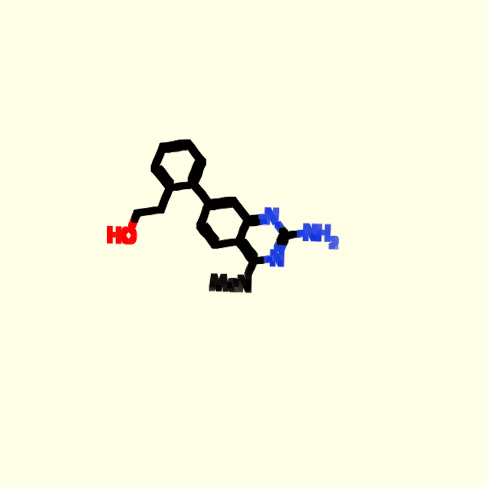 CNc1nc(N)nc2cc(-c3ccccc3CCO)ccc12